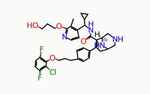 Cc1c(C(NC(=O)C2=C(c3ccc(CCCOc4c(F)ccc(F)c4Cl)cc3)CC3CNC[C@H]2N3)C2CC2)ccnc1OCCCO